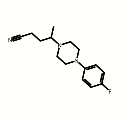 CC(CCC#N)N1CCN(c2ccc(F)cc2)CC1